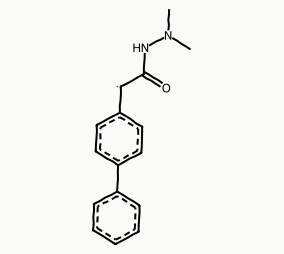 CN(C)NC(=O)[CH]c1ccc(-c2ccccc2)cc1